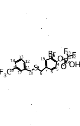 O=P(O)(Oc1ccc(CSCc2cccc(C(F)(F)F)c2)cc1Br)C(F)F